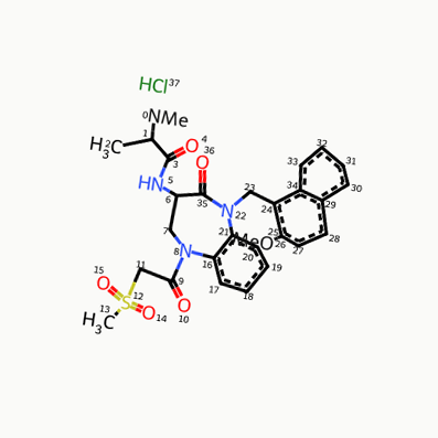 CNC(C)C(=O)NC1CN(C(=O)CS(C)(=O)=O)c2ccccc2N(Cc2c(OC)ccc3ccccc23)C1=O.Cl